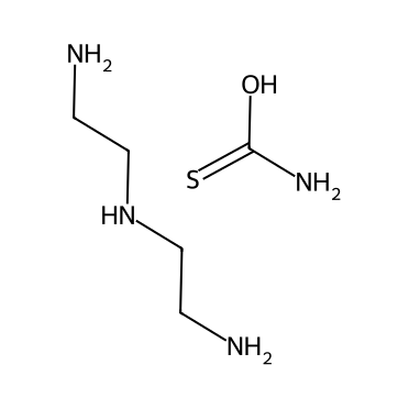 NC(O)=S.NCCNCCN